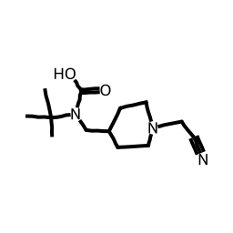 CC(C)(C)N(CC1CCN(CC#N)CC1)C(=O)O